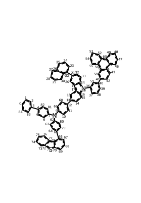 c1ccc(-c2ccc(N(c3ccc(-c4ccc5c(c4)c4cc(-c6cccc7ccccc67)ccc4n5-c4cccc(-c5ccc6c7ccccc7c7ccccc7c6c5)c4)cc3)c3ccc(-c4cccc5sc6ccccc6c45)cc3)cc2)cc1